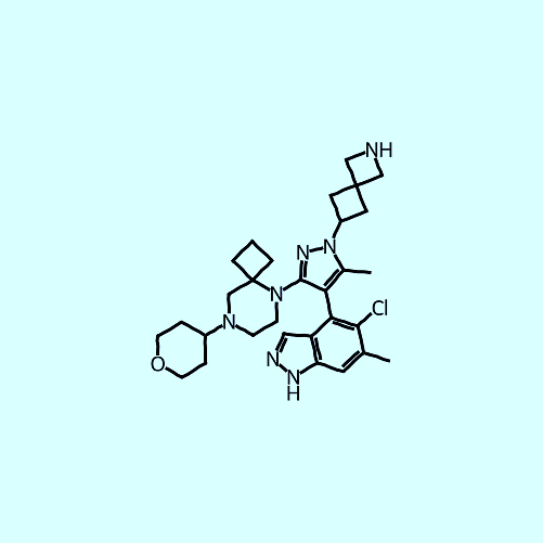 Cc1cc2[nH]ncc2c(-c2c(N3CCN(C4CCOCC4)CC34CCC4)nn(C3CC4(CNC4)C3)c2C)c1Cl